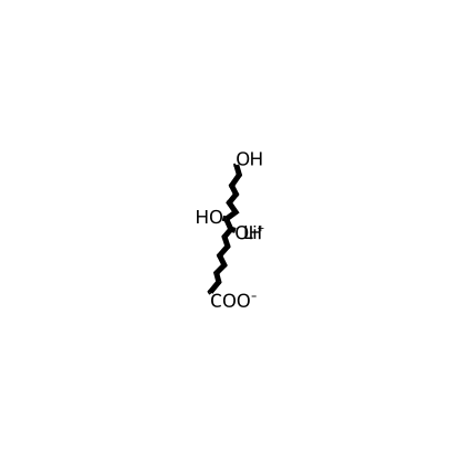 O=C([O-])CCCCCCCC(O)C(O)CCCCCCO.[Li+]